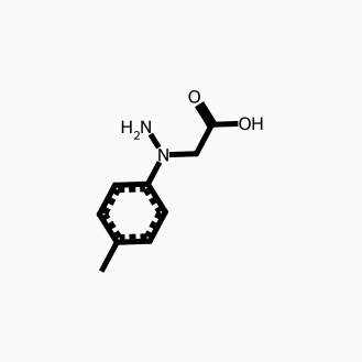 Cc1ccc(N(N)CC(=O)O)cc1